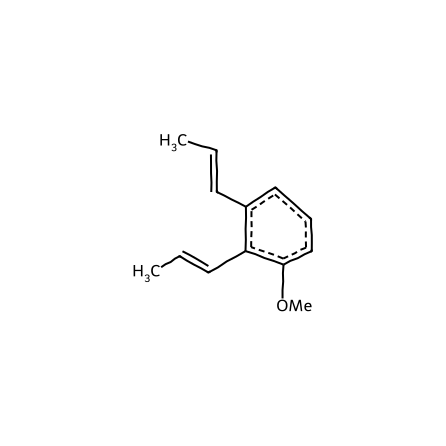 CC=Cc1cccc(OC)c1C=CC